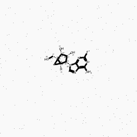 Nc1nc(F)nc2c1ncn2[C@H]1[C@@H](O)[C@@H](O)[C@]2(CO)C[C@H]12